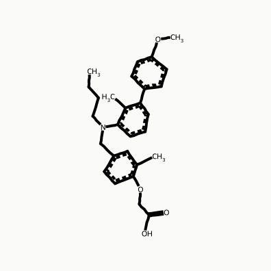 CCCCN(Cc1ccc(OCC(=O)O)c(C)c1)c1cccc(-c2ccc(OC)cc2)c1C